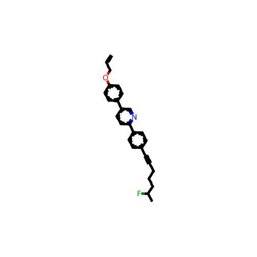 C=CCOc1ccc(-c2ccc(-c3ccc(C#CCCCC(C)F)cc3)nc2)cc1